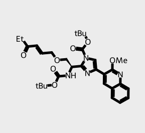 CCC(=O)/C=C/COC[C@H](NC(=O)OC(C)(C)C)c1nc(-c2cc3ccccc3nc2OC)cn1C(=O)OC(C)(C)C